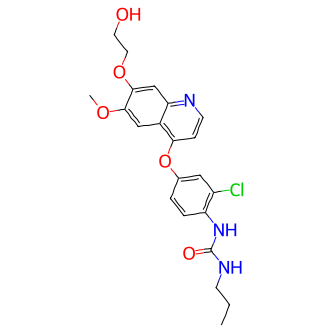 CCCNC(=O)Nc1ccc(Oc2ccnc3cc(OCCO)c(OC)cc23)cc1Cl